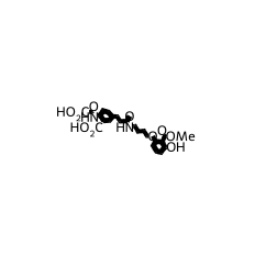 COC(=O)c1c(O)cccc1OCCCCNC(=O)CCc1ccc(NC(=O)C(=O)O)c(C(=O)O)c1